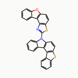 c1ccc2c(c1)oc1ccc3sc(-n4c5ccccc5c5c6c(ccc54)sc4ccccc46)nc3c12